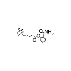 NC(=O)c1ccccc1OC(=O)CCCC[C@H]1CCSS1